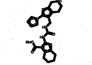 COC(=O)c1c(NC(=O)NCc2c(-n3cccc3)sc3c2CCNC3)sc2c1CCCC2